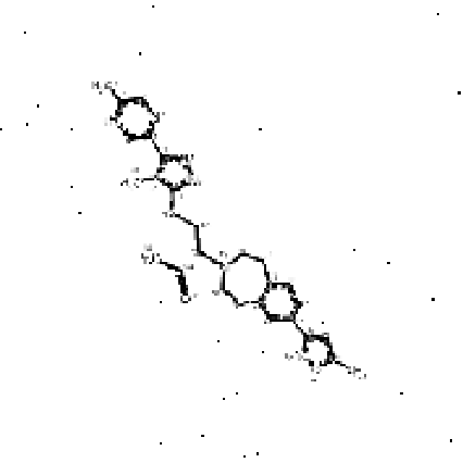 Cc1cnc(-c2nnc(SCCN3CCc4ccc(-c5cc(C)on5)cc4CC3)n2C)cn1.O=CO